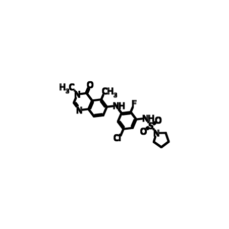 Cc1c(Nc2cc(Cl)cc(NS(=O)(=O)N3CCCC3)c2F)ccc2ncn(C)c(=O)c12